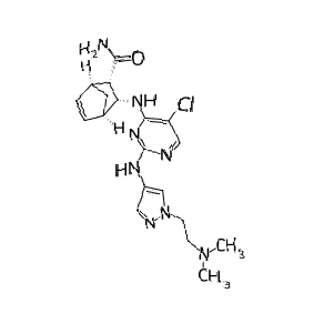 CN(C)CCn1cc(Nc2ncc(Cl)c(N[C@H]3[C@@H](C(N)=O)[C@@H]4C=C[C@H]3C4)n2)cn1